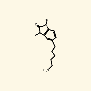 [2H]n1c(=O)n(C)c2cc(CCCCCN)ccc21